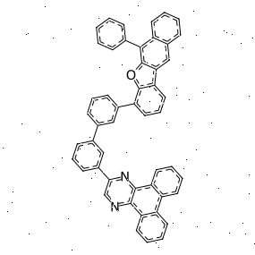 c1ccc(-c2c3ccccc3cc3c2oc2c(-c4cccc(-c5cccc(-c6cnc7c8ccccc8c8ccccc8c7n6)c5)c4)cccc23)cc1